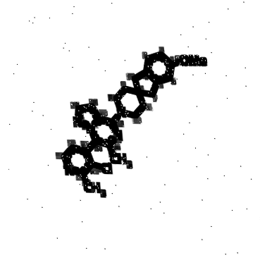 COc1ccc2c(c1)CC1(CCN(c3nc(C)c(-c4ccnc(C)c4Cl)n4nccc34)CC1)C2